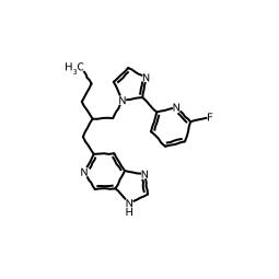 CCCC(Cc1cc2nc[nH]c2cn1)Cn1ccnc1-c1cccc(F)n1